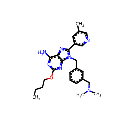 CCCCOc1nc(N)c2nc(-c3cncc(C)c3)n(Cc3cccc(CN(C)C)c3)c2n1